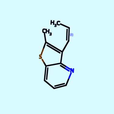 C/C=C\c1c(C)sc2cccnc12